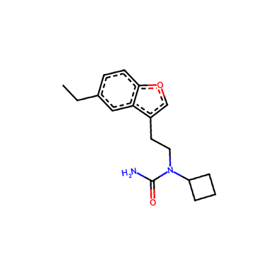 CCc1ccc2occ(CCN(C(N)=O)C3CCC3)c2c1